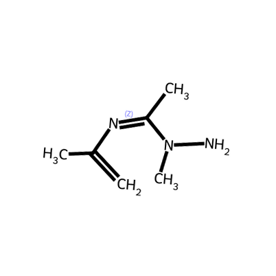 C=C(C)/N=C(/C)N(C)N